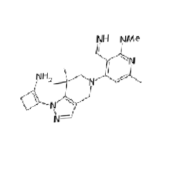 CNc1nc(C)cc(N2Cc3cnn(C4=C(N)CC4)c3C(C)(C)C2)c1C=N